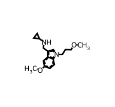 COCCCn1cc(CNC2CC2)c2cc(OC)ccc21